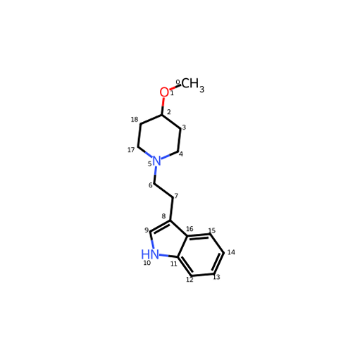 COC1CCN(CCc2c[nH]c3ccccc23)CC1